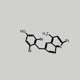 CCc1cc(C)c2cc(Cc3c(Br)cc(O)cc3Br)ccc2n1